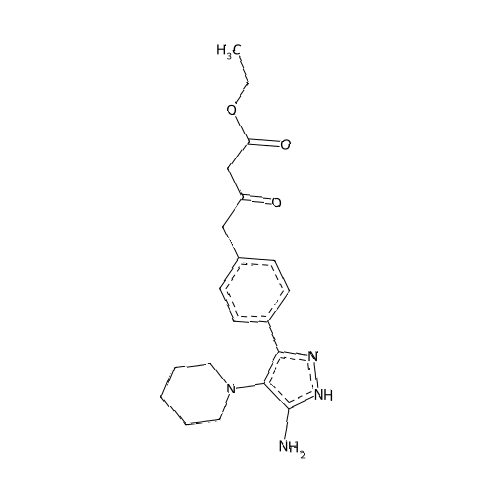 CCOC(=O)CC(=O)Cc1ccc(-c2n[nH]c(N)c2N2CCCCC2)cc1